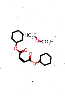 O=C(/C=C\C(=O)OC1CCCCC1)OC1CCCCC1.O=C(O)OC(=O)O